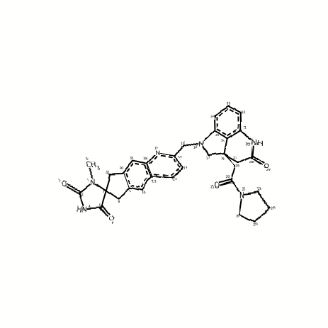 CN1C(=O)NC(=O)C12Cc1cc3ccc(CN4CC5(CC(=O)N6CCCC6)CC(=O)Nc6cccc4c65)nc3cc1C2